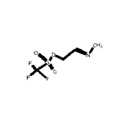 CN=CCOS(=O)(=O)C(F)(F)F